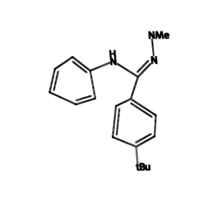 CN/N=C(\Nc1ccccc1)c1ccc(C(C)(C)C)cc1